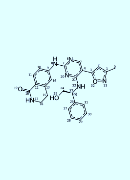 Cc1cc(-c2cnc(Nc3ccc4c(c3)CCNC4=O)nc2N[C@H](CO)c2ccccc2)on1